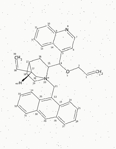 C=CCOC(c1ccnc2ccccc12)C1CC2CC[N+]1(Cc1c3ccccc3cc3ccccc13)C[C@@H]2C=C